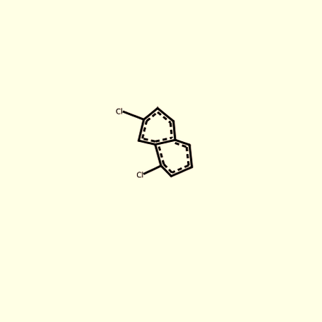 Clc1[c]cc2cccc(Cl)c2c1